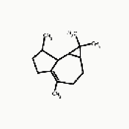 CC1=C2CCC(C)C2C2C(CC1)C2(C)C